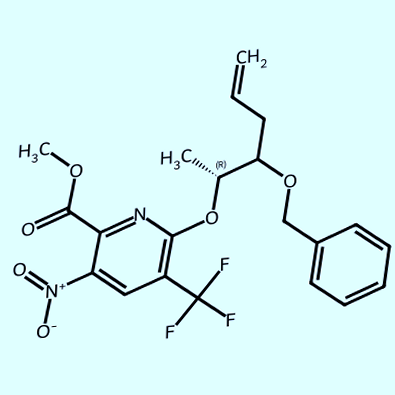 C=CCC(OCc1ccccc1)[C@@H](C)Oc1nc(C(=O)OC)c([N+](=O)[O-])cc1C(F)(F)F